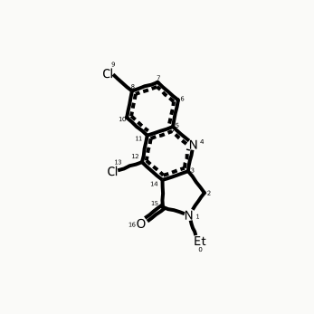 CCN1Cc2nc3ccc(Cl)cc3c(Cl)c2C1=O